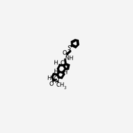 CN1C(=O)CC[C@@]2(C)C1CC[C@@H]1[C@H]2CC[C@]2(C)C(CNC(=O)CSc3ccccc3)CC[C@@H]12